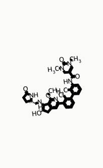 COc1nc(-c2cccc(-c3cccc(NC(=O)C4=CN(C)C(=O)N(C)C4)c3C)c2Cl)cc2c1C(NC[C@@H]1CCC(=O)N1)[C@@H](O)C2